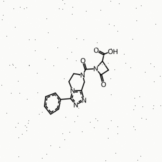 O=C(O)C1CC(=O)N1C(=O)N1CCn2c(nnc2-c2ccccc2)C1